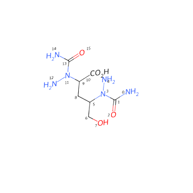 NC(=O)N(N)C(CO)CC(C(=O)O)N(N)C(N)=O